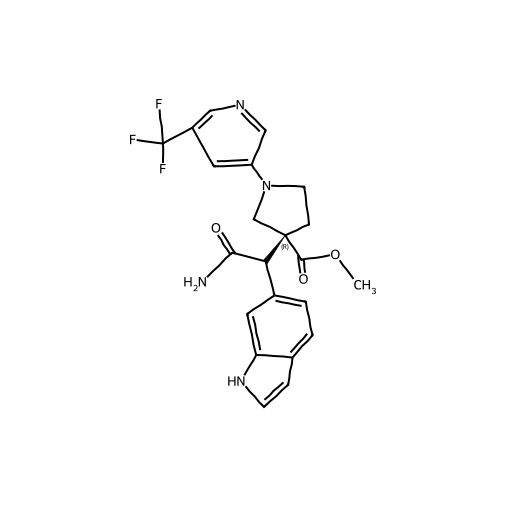 COC(=O)[C@@]1(C(C(N)=O)c2ccc3cc[nH]c3c2)CCN(c2cncc(C(F)(F)F)c2)C1